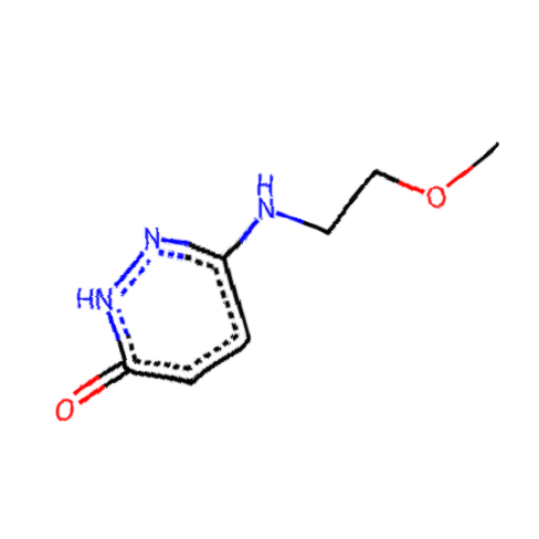 COCCNc1ccc(=O)[nH]n1